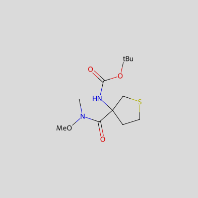 CON(C)C(=O)C1(NC(=O)OC(C)(C)C)CCSC1